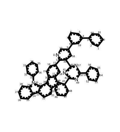 c1ccc(-c2cccc(-c3cnc(-c4ccc5c(c4)oc4ccc6c7ccccc7n(-c7ccccc7)c6c45)c(-c4nc(-c5ccccc5)nc(-c5ccccc5)n4)c3)c2)cc1